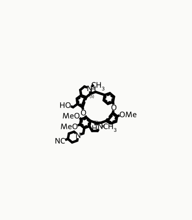 COc1ccc2cc1Oc1ccc(cc1)C[C@H]1c3cc(c(CO)cc3CCN1C)Oc1c(OC)c(OC)c(CN3CCC(C#N)CC3)c3c1[C@H](C2)N(C)CC3